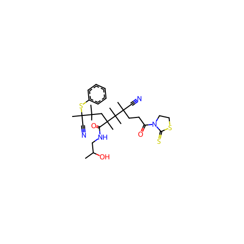 CC(O)CNC(=O)C(C)(CC(C)(C)C(C)(C#N)Sc1ccccc1)C(C)(C)C(C)(C#N)CCC(=O)N1CCSC1=S